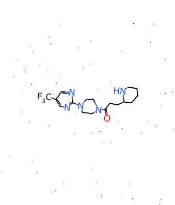 O=C(CCC1CCCCN1)N1CCN(c2ncc(C(F)(F)F)cn2)CC1